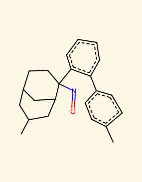 Cc1ccc(-c2ccccc2C2(N=O)CCC3CC(C)CC2C3)cc1